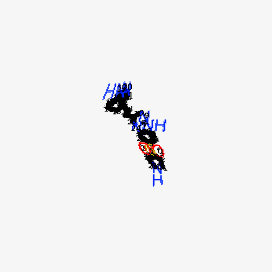 O=S(=O)(c1ccc(Nc2ncc(/C=C/c3cccc4[nH]ncc34)cn2)cc1)C1CCNCC1